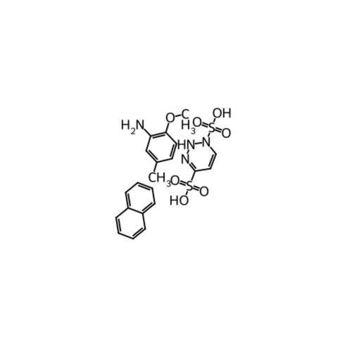 COc1ccc(C)cc1N.O=S(=O)(O)C1=NNN(S(=O)(=O)O)C=C1.c1ccc2ccccc2c1